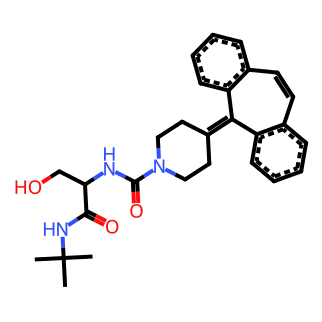 CC(C)(C)NC(=O)C(CO)NC(=O)N1CCC(=C2c3ccccc3C=Cc3ccccc32)CC1